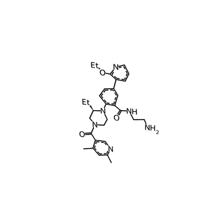 CCOc1ncccc1-c1ccc(N2CCN(C(=O)c3cnc(C)cc3C)C[C@H]2CC)c(C(=O)NCCN)c1